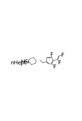 CCCCCCC[Si@H]1CC[C@H](CCc2cc(F)c(C(F)=CF)c(F)c2)CC1